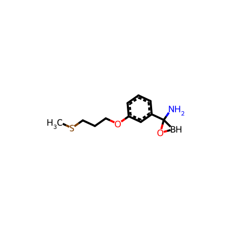 CSCCCOc1cccc(C2(N)BO2)c1